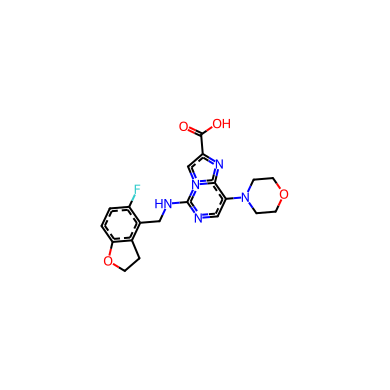 O=C(O)c1cn2c(NCc3c(F)ccc4c3CCO4)ncc(N3CCOCC3)c2n1